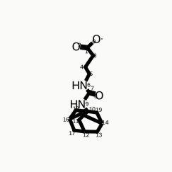 [O]C(=O)CCCNC(=O)NC12CC3CC(CC(C3)C1)C2